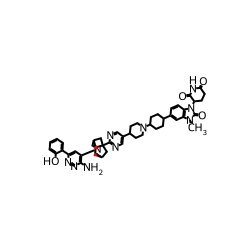 Cn1c(=O)n(C2CCC(=O)NC2=O)c2ccc(C3CCC(N4CCC(c5cnc(C67CC8CC6C(CN(c6cc(-c9ccccc9O)nnc6N)C8)C7)nc5)CC4)CC3)cc21